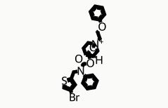 O=C(O[C@H]1C[N+]2(CCOc3ccccc3)CCC1CC2)N(Cc1cc(Br)cs1)c1ccccc1